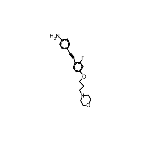 Nc1ccc(C#Cc2ccc(OCCCN3CCOCC3)cc2F)cc1